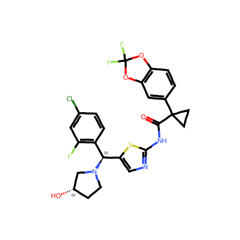 O=C(Nc1ncc([C@H](c2ccc(Cl)cc2F)N2CC[C@H](O)C2)s1)C1(c2ccc3c(c2)OC(F)(F)O3)CC1